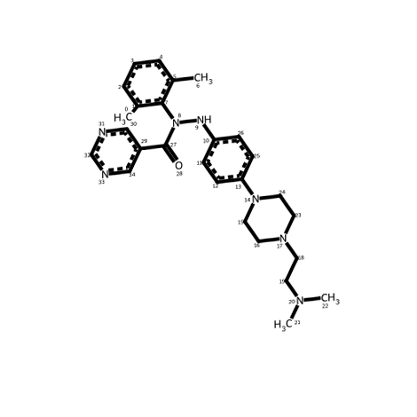 Cc1cccc(C)c1N(Nc1ccc(N2CCN(CCN(C)C)CC2)cc1)C(=O)c1cncnc1